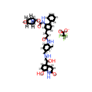 Cc1cc(CNC[C@H](O)c2ccc(O)c3[nH]c(=O)ccc23)ccc1NC(=O)CCc1ccc(-c2ccccc2)c(NC(=O)O[C@@H]2C[C@@H]3[C@H]4O[C@H]4[C@H](C2)[N+]3(C)C)c1.O=C([O-])C(F)(F)F